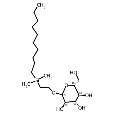 CCCCCCCCCC[Si](C)(C)CCO[C@H]1O[C@H](CO)[C@@H](O)[C@H](O)[C@H]1O